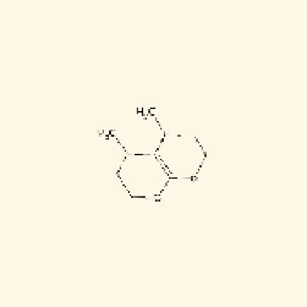 CC1CCOC2=C1C(C)CCO2